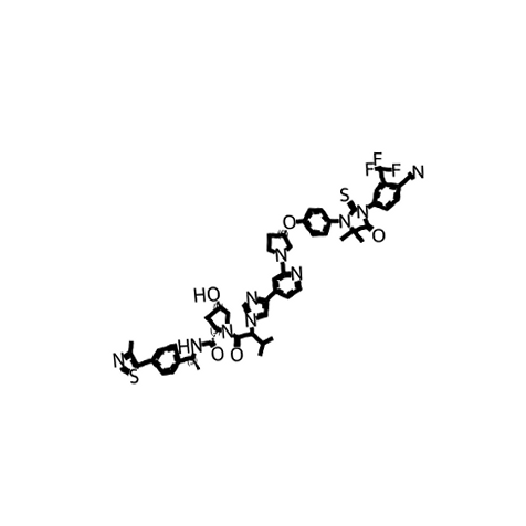 Cc1ncsc1-c1ccc([C@H](C)NC(=O)[C@@H]2C[C@@H](O)CN2C(=O)C(C(C)C)n2cnc(-c3ccnc(N4CC[C@H](Oc5ccc(N6C(=S)N(c7ccc(C#N)c(C(F)(F)F)c7)C(=O)C6(C)C)cc5)C4)c3)c2)cc1